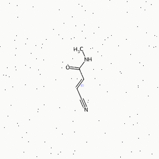 CNC(=O)/C=C/C#N